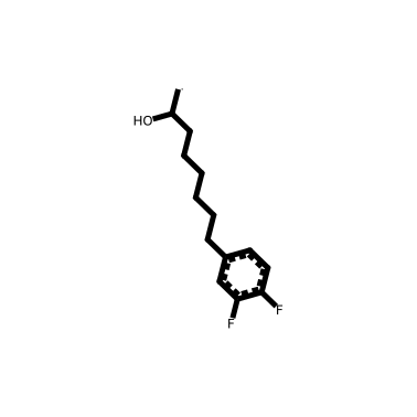 [CH2]C(O)CCCCCCc1ccc(F)c(F)c1